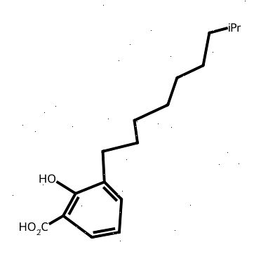 CC(C)CCCCCCCc1cccc(C(=O)O)c1O